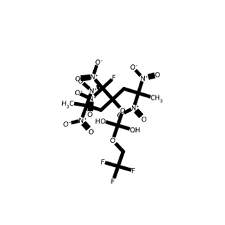 CC(CC(CC(C)([N+](=O)[O-])[N+](=O)[O-])(OC(O)(O)OCC(F)(F)F)C(F)([N+](=O)[O-])[N+](=O)[O-])([N+](=O)[O-])[N+](=O)[O-]